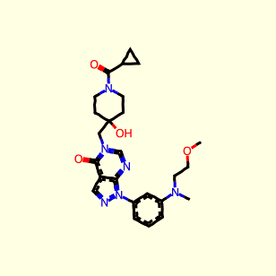 COCCN(C)c1cccc(-n2ncc3c(=O)n(CC4(O)CCN(C(=O)C5CC5)CC4)cnc32)c1